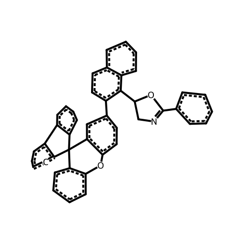 c1ccc(C2=NCC(c3c(-c4ccc5c(c4)C4(c6ccccc6O5)c5ccccc5-c5ccccc54)ccc4ccccc34)O2)cc1